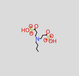 CCCCN(CCC(=O)S(=O)(=O)O)CCC(=O)S(=O)(=O)O